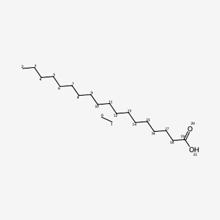 CC.CCCCCCCCCCCCCCCCCC(=O)O